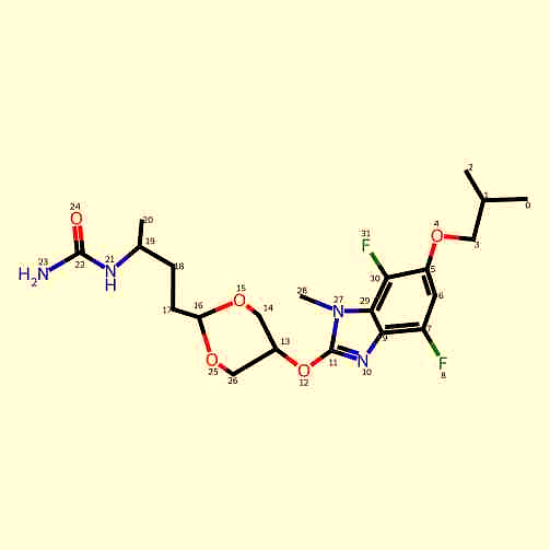 CC(C)COc1cc(F)c2nc(OC3COC(CCC(C)NC(N)=O)OC3)n(C)c2c1F